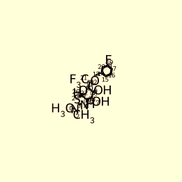 CN(C)C1=N[C@@H]2[C@@H](O)[C@H](O)[C@@H]([C@@H](OCc3cccc(F)c3)C(F)(F)F)O[C@@H]2S1